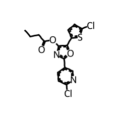 CCCC(=O)Oc1nc(-c2ccc(Cl)nc2)oc1-c1ccc(Cl)s1